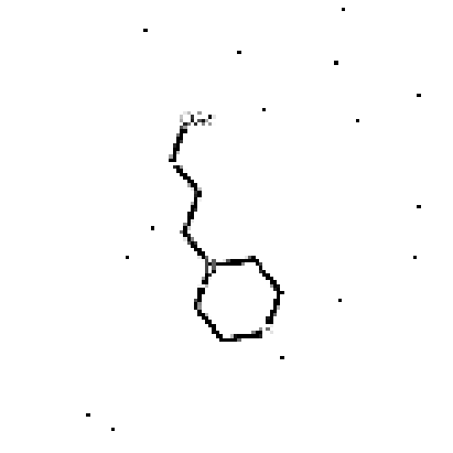 CC(=O)OCCCN1CCOCC1